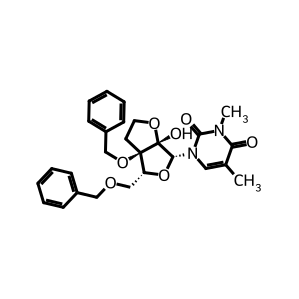 Cc1cn([C@@H]2O[C@H](COCc3ccccc3)[C@]3(OCc4ccccc4)CCO[C@]23O)c(=O)n(C)c1=O